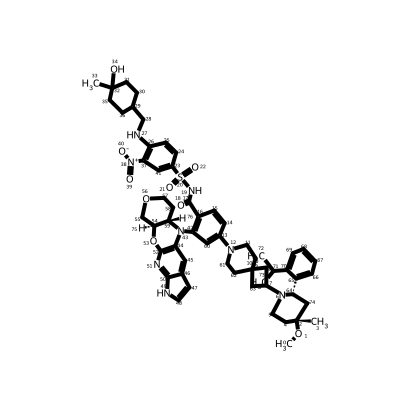 CO[C@]1(C)CCN(C2CC3(CCN(c4ccc(C(=O)NS(=O)(=O)c5ccc(NCC6CCC(C)(O)CC6)c([N+](=O)[O-])c5)c(N5c6cc7cc[nH]c7nc6O[C@H]6COCC[C@@H]65)c4)CC3)C2)[C@H](c2ccccc2C(C)C)C1